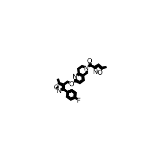 Cc1cc(C(=O)N2CCc3nc(OCc4c(-c5ccc(F)cc5)noc4C)ccc3C2)no1